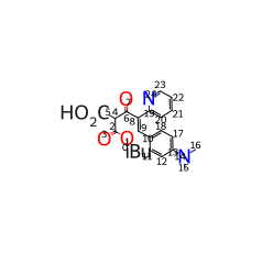 CCC(C)OC(=O)C(C(=O)O)C(=O)C(=Cc1ccc(N(C)C)cc1)c1ccccn1